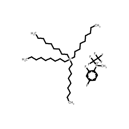 CCCCCCCCC[B-](CCCCCCCCC)(CCCCCCCCC)CCCCCCCCC.C[PH+](c1ccc(F)cc1F)C(F)(F)C(F)(F)F